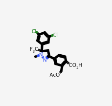 CC(=O)OCc1cc(C2=NN(C)C(c3cc(Cl)cc(Cl)c3)(C(F)(F)F)C2)ccc1C(=O)O